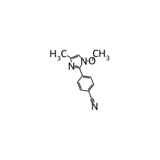 COn1cc(C)nc1-c1ccc(C#N)cc1